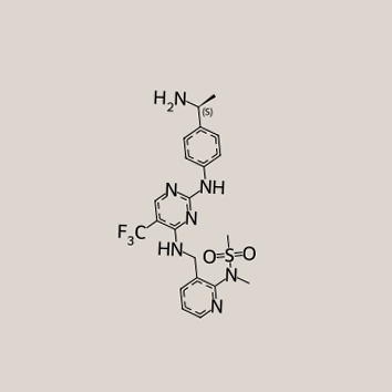 C[C@H](N)c1ccc(Nc2ncc(C(F)(F)F)c(NCc3cccnc3N(C)S(C)(=O)=O)n2)cc1